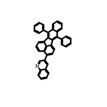 c1ccc(-c2c3c(c(-c4ccccc4)c4ccccc24)-c2ccc(-c4cnc5ccccc5c4)c4cccc-3c24)cc1